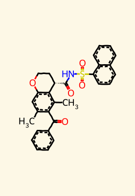 Cc1cc2c(c(C)c1C(=O)c1ccccc1)[C@@H](C(=O)NS(=O)(=O)c1cccc3ccccc13)CCO2